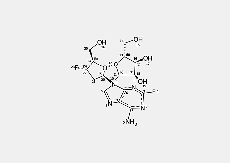 Nc1nc(F)nc2c1N=C[N+]2([C@@H]1O[C@H](CO)[C@@H](O)[C@H]1O)[C@H]1C[C@H](F)[C@@H](CO)O1